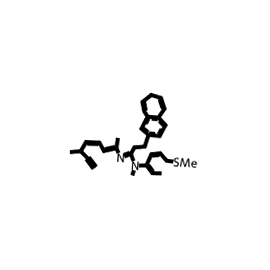 C#CC(C)\C=C/C=C(C)/N=C(\CCc1ccc2c(c1)C=CCC=C2)N(C)C(/C=C\CSC)=C/C